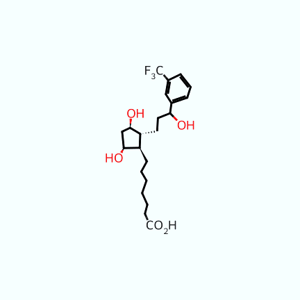 O=C(O)CCCCCC[C@@H]1[C@@H](CCC(O)c2cccc(C(F)(F)F)c2)[C@H](O)C[C@@H]1O